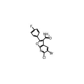 NC(=O)c1c(-c2ccc(F)cc2)oc2nc(Cl)c(Br)cc12